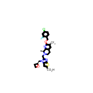 C[C@H]1c2nc(OCc3ccc(Cl)cc3F)c(C(F)(F)F)cc2CCN1Cc1nc2sc(C(=O)O)cc2n1C[C@@H]1CCO1